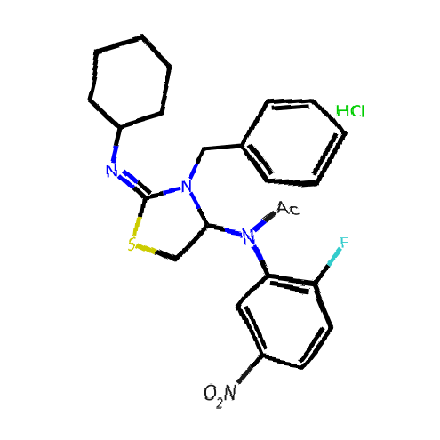 CC(=O)N(c1cc([N+](=O)[O-])ccc1F)C1CSC(=NC2CCCCC2)N1Cc1ccccc1.Cl